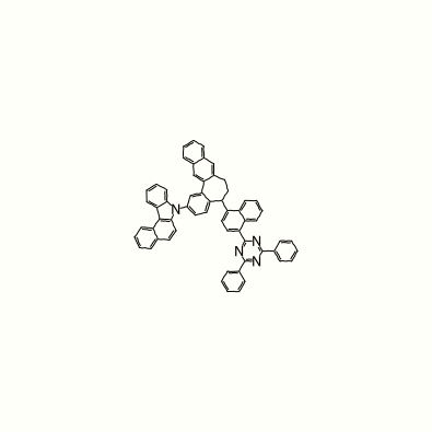 c1ccc(-c2nc(-c3ccccc3)nc(-c3ccc(C4CCc5cc6ccccc6cc5-c5cc(-n6c7ccccc7c7c8ccccc8ccc76)ccc54)c4ccccc34)n2)cc1